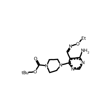 CCO/N=C\c1c(N)ncnc1N1CCN(C(=O)OC(C)(C)C)CC1